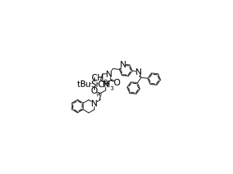 CC(C)(C)[Si](C)(C)O[C@H](CN1CCc2ccccc2C1)CN1CCN(Cc2ccc(N=C(c3ccccc3)c3ccccc3)cn2)C1=O